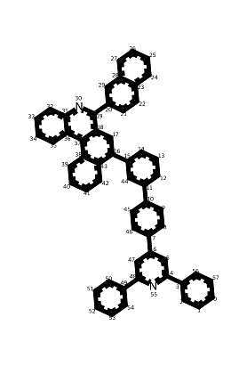 c1ccc(-c2cc(-c3ccc(-c4cccc(-c5cc6c(-c7ccc8ccccc8c7)nc7ccccc7c6c6ccccc56)c4)cc3)cc(-c3ccccc3)n2)cc1